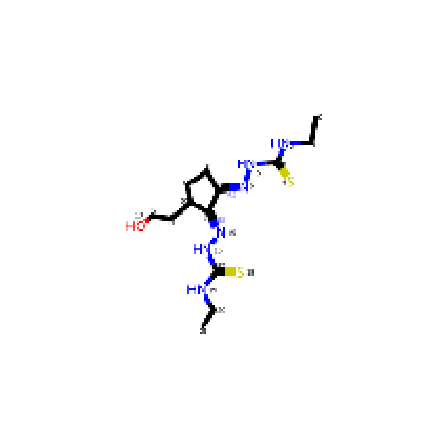 CCNC(=S)N/N=C1\CCC(CCO)\C1=N/NC(=S)NCC